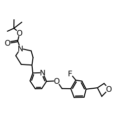 CC(C)(C)OC(=O)N1CCC(c2cccc(OCc3ccc(C4COC4)cc3F)n2)CC1